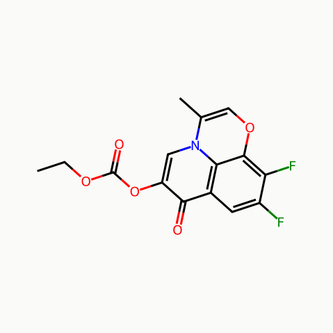 CCOC(=O)Oc1cn2c3c(c(F)c(F)cc3c1=O)OC=C2C